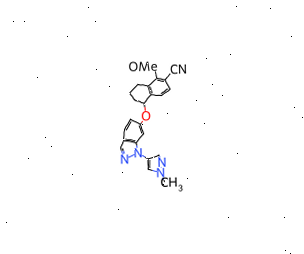 COc1c(C#N)ccc2c1CCCC2Oc1ccc2cnn(-c3cnn(C)c3)c2c1